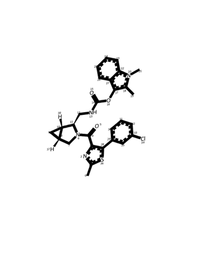 Cc1nc(C(=O)N2C[C@@H]3C[C@@H]3[C@H]2CNC(=O)Oc2c(C)n(C)c3ccccc23)c(-c2cccc(Cl)c2)s1